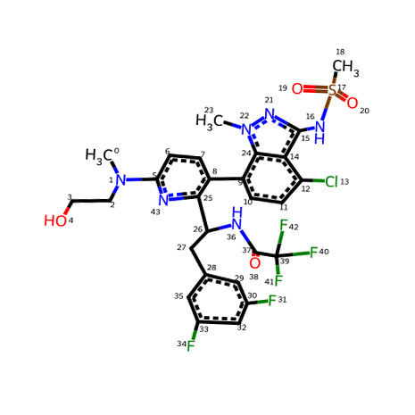 CN(CCO)c1ccc(-c2ccc(Cl)c3c(NS(C)(=O)=O)nn(C)c23)c(C(Cc2cc(F)cc(F)c2)NC(=O)C(F)(F)F)n1